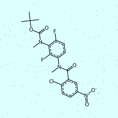 CN(C(=O)c1cc([N+](=O)[O-])ccc1Cl)c1ccc(F)c(N(C)C(=O)OC(C)(C)C)c1F